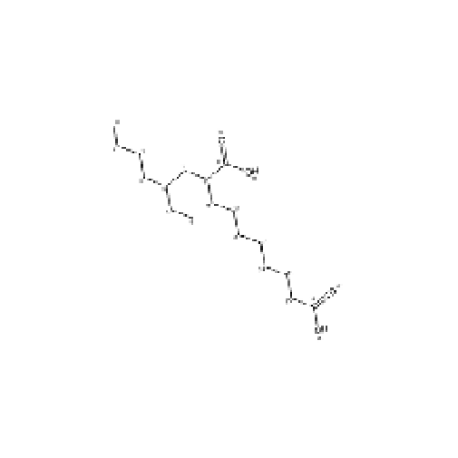 CCCCC(CC)CC(CCCCCCCC(=O)O)C(=O)O